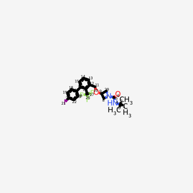 CC(C)(C)NC(=O)N1CC(OCc2cccc(-c3ccc(I)cc3)c2C(F)(F)F)C1